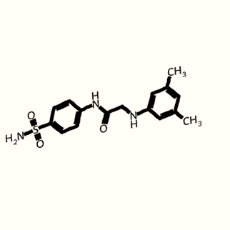 Cc1cc(C)cc(NCC(=O)Nc2ccc(S(N)(=O)=O)cc2)c1